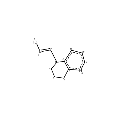 ON=CC1CCCc2ncccc21